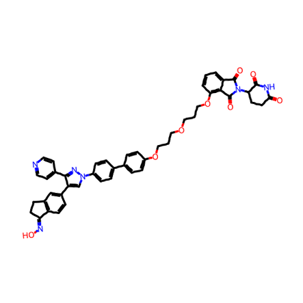 O=C1CCC(N2C(=O)c3cccc(OCCCOCCCOc4ccc(-c5ccc(-n6cc(-c7ccc8c(c7)CC/C8=N\O)c(-c7ccncc7)n6)cc5)cc4)c3C2=O)C(=O)N1